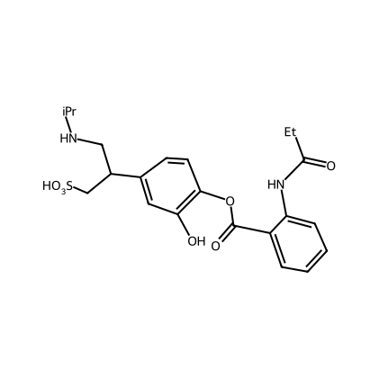 CCC(=O)Nc1ccccc1C(=O)Oc1ccc(C(CNC(C)C)CS(=O)(=O)O)cc1O